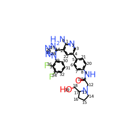 Nc1ncc(-c2ccc(NC(=O)CN3CCCC3CO)cc2)cc1-c1nnnn1-c1cccc(F)c1F